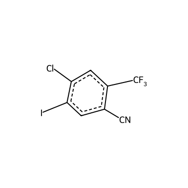 N#Cc1cc(I)c(Cl)cc1C(F)(F)F